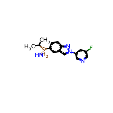 CC(C)[SH2](=N)c1ccc2nn(-c3cncc(F)c3)cc2c1